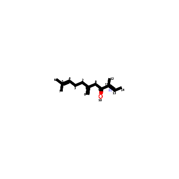 C=C(CCC=C(C)C)CC(=O)/C(C)=C/C